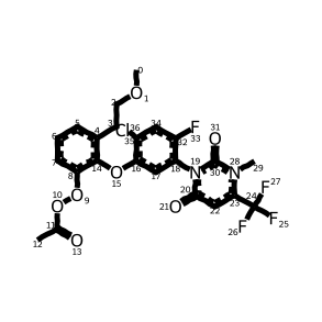 COCCc1cccc(OOC(C)=O)c1Oc1cc(-n2c(=O)cc(C(F)(F)F)n(C)c2=O)c(F)cc1Cl